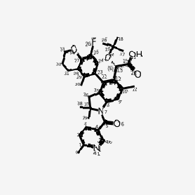 Cc1ccc(C(=O)N2c3cc(C)c([C@H](OC(C)(C)C)C(=O)O)c(-c4cc(F)c5c(c4C)CCCO5)c3CC2(C)C)cn1